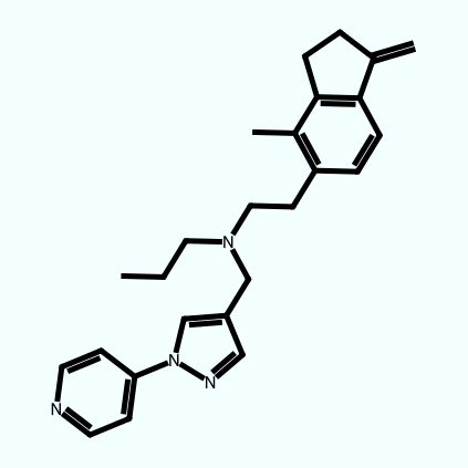 C=C1CCc2c1ccc(CCN(CCC)Cc1cnn(-c3ccncc3)c1)c2C